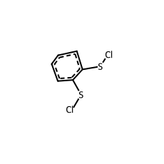 ClSc1ccccc1SCl